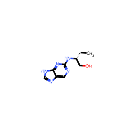 CC[C@H](CO)Nc1ncc2nc[nH]c2n1